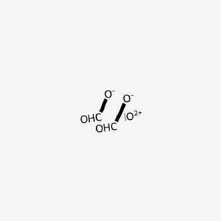 O=C[O-].O=C[O-].[O+2]